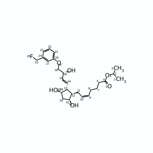 CC(C)OC(=O)CCC/C=C\C[C@@H]1[C@@H](/C=C/[C@@H](O)COc2cccc(CF)c2)[C@H](O)C[C@@H]1O